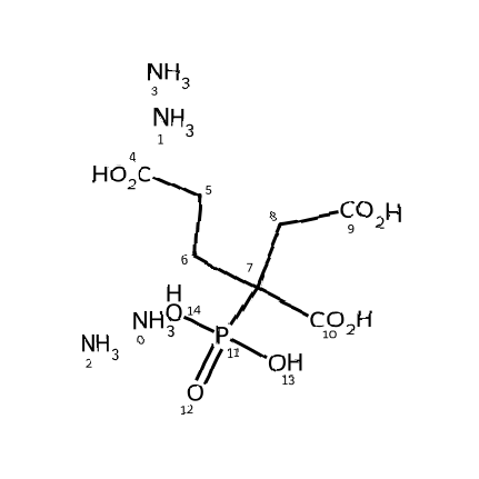 N.N.N.N.O=C(O)CCC(CC(=O)O)(C(=O)O)P(=O)(O)O